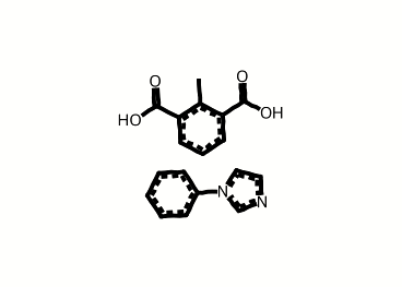 Cc1c(C(=O)O)cccc1C(=O)O.c1ccc(-n2ccnc2)cc1